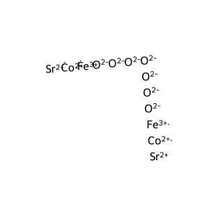 [Co+2].[Co+2].[Fe+3].[Fe+3].[O-2].[O-2].[O-2].[O-2].[O-2].[O-2].[O-2].[Sr+2].[Sr+2]